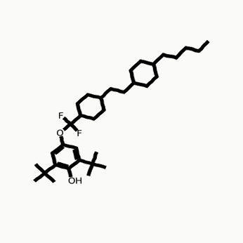 CCCCCC1CCC(CCC2CCC(C(F)(F)Oc3cc(C(C)(C)C)c(O)c(C(C)(C)C)c3)CC2)CC1